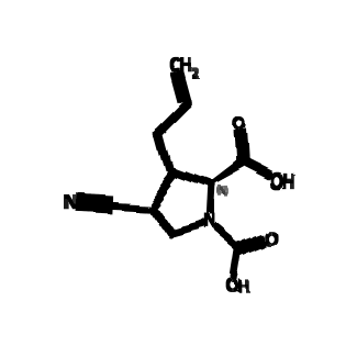 C=CCC1C(C#N)CN(C(=O)O)[C@@H]1C(=O)O